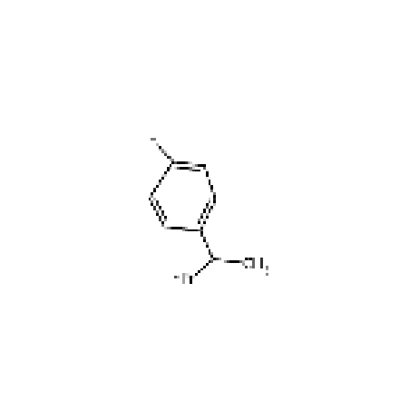 C[CH]CC(C)c1ccc(F)cc1